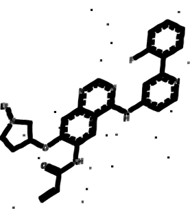 C=CC(=O)Nc1cc2c(Nc3ccnc(-c4ccccc4F)c3)ncnc2cc1OC1CCN(CC)C1